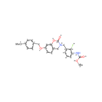 COc1ccc(COc2ccc3c(c2)OC(=O)N(Cc2cccc(NC(=O)OC(C)(C)C)c2F)C3)cc1